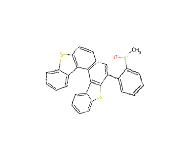 C[S+]([O-])c1ccccc1-c1cc2ccc3sc4ccccc4c3c2c2c1sc1ccccc12